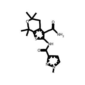 [CH2]n1ccc(C(=O)Nc2sc3c(c2C(N)=O)CC(C)(C)OC3(C)C)n1